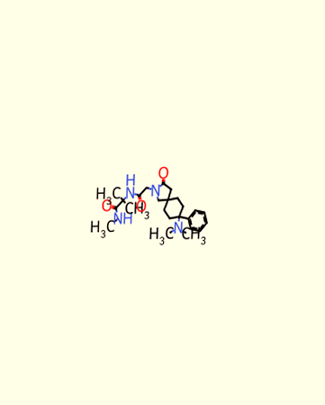 CNC(=O)C(C)(C)NC(=O)CN1CC2(CCC(c3ccccc3)(N(C)C)CC2)CC1=O